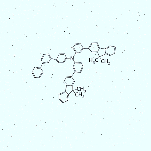 CC1(C)c2ccccc2-c2ccc(-c3cccc(N(c4ccc(-c5cccc(-c6ccccc6)c5)cc4)c4cccc(-c5ccc6c(c5)C(C)(C)c5ccccc5-6)c4)c3)cc21